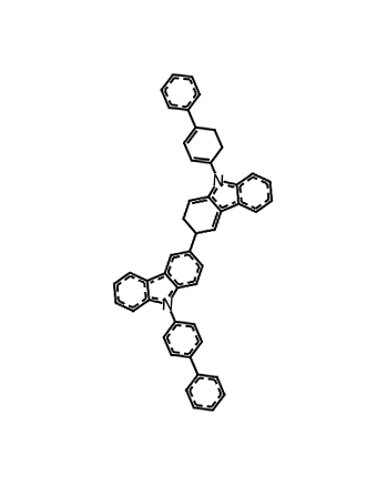 C1=C(c2ccccc2)CCC(n2c3c(c4ccccc42)=CC(c2ccc4c(c2)c2ccccc2n4-c2ccc(-c4ccccc4)cc2)CC=3)=C1